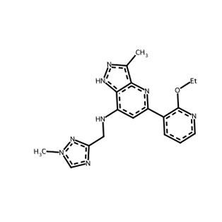 CCOc1ncccc1-c1cc(NCc2ncn(C)n2)c2[nH]nc(C)c2n1